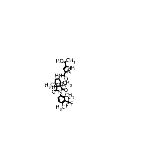 Cc1ccc(N2C(=O)[C@@H]3[C@H](C2=O)[C@@]2(C)C[C@@H](NC(=O)c4cc(C(C)O)[nH]n4)[C@]3(C)O2)c(C)c1C(F)(F)F